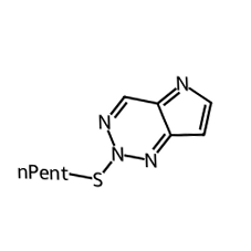 CCCCCSn1ncc2nccc-2n1